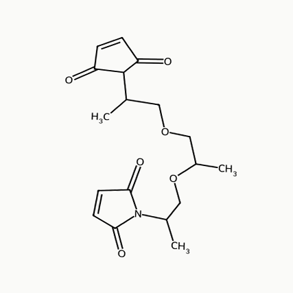 CC(COCC(C)C1C(=O)C=CC1=O)OCC(C)N1C(=O)C=CC1=O